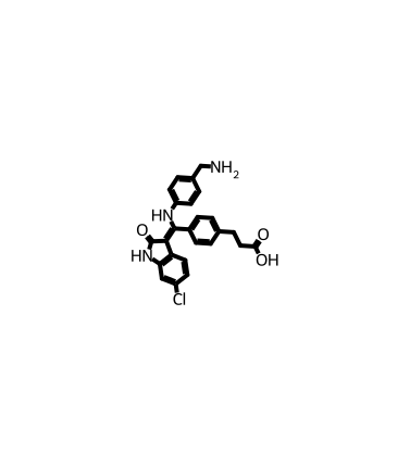 NCc1ccc(N/C(=C2\C(=O)Nc3cc(Cl)ccc32)c2ccc(CCC(=O)O)cc2)cc1